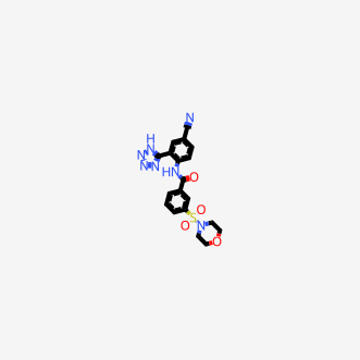 N#Cc1ccc(NC(=O)c2cccc(S(=O)(=O)N3CCOCC3)c2)c(-c2nnn[nH]2)c1